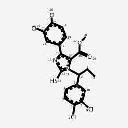 CCC(c1ccc(Cl)c(Cl)c1)n1c(S)nc(-c2ccc(Cl)c(Cl)c2)c1C(=O)OC